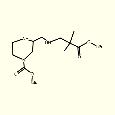 CCCOC(=O)C(C)(C)CNCC1CN(C(=O)OC(C)(C)C)CCN1